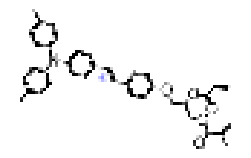 C=CC(=O)OC(COC(=O)C(=C)C)COc1ccc(/C=C/c2ccc(N(c3ccc(C)cc3)c3ccc(C)cc3)cc2)cc1